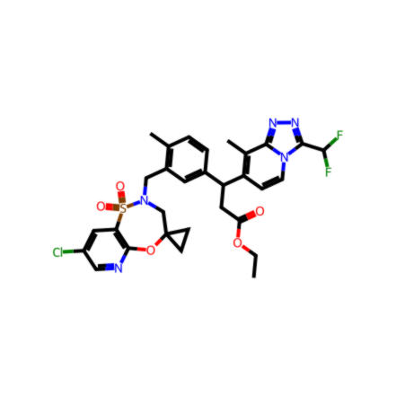 CCOC(=O)CC(c1ccc(C)c(CN2CC3(CC3)Oc3ncc(Cl)cc3S2(=O)=O)c1)c1ccn2c(C(F)F)nnc2c1C